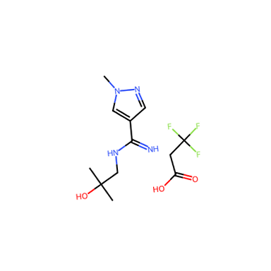 Cn1cc(C(=N)NCC(C)(C)O)cn1.O=C(O)CC(F)(F)F